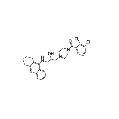 O=C(c1cccc(Cl)c1Cl)N1CCN(CC(O)CNc2c3c(nc4ccccc24)CCCC3)CC1